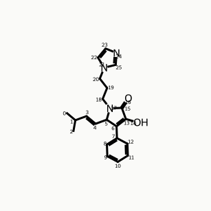 CC(C)/C=C/C1C(c2ccccc2)=C(O)C(=O)N1CCCn1ccnc1